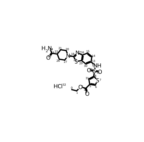 CCOC(=O)c1csc(S(=O)(=O)Nc2ccc3nc(N4CCC(C(N)=O)CC4)sc3c2)c1.Cl